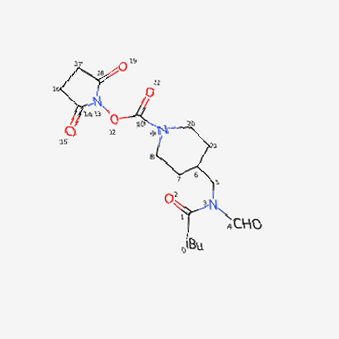 CCC(C)C(=O)N(C=O)CC1CCN(C(=O)ON2C(=O)CCC2=O)CC1